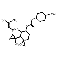 COC1C(OC(=O)N[C@H]2CC[C@H](NC(C)=O)CC2)CC[C@]2(CO2)C1C1(C)O[C@@H]1CC=C(C)C